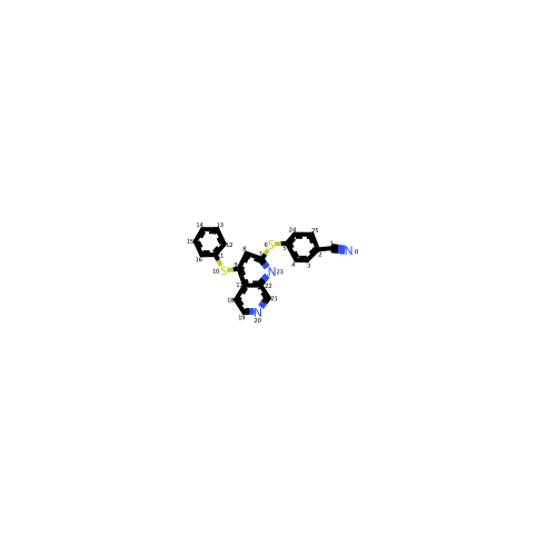 N#Cc1ccc(Sc2cc(Sc3ccccc3)c3ccncc3n2)cc1